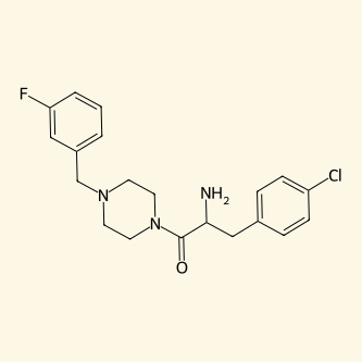 NC(Cc1ccc(Cl)cc1)C(=O)N1CCN(Cc2cccc(F)c2)CC1